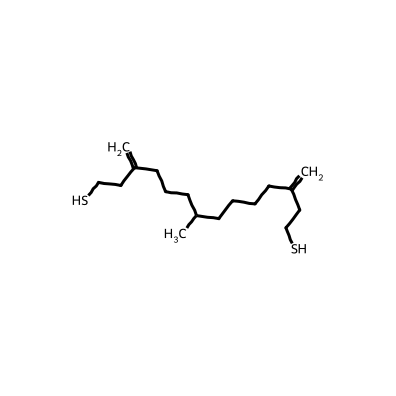 C=C(CCS)CCCCC(C)CCCC(=C)CCS